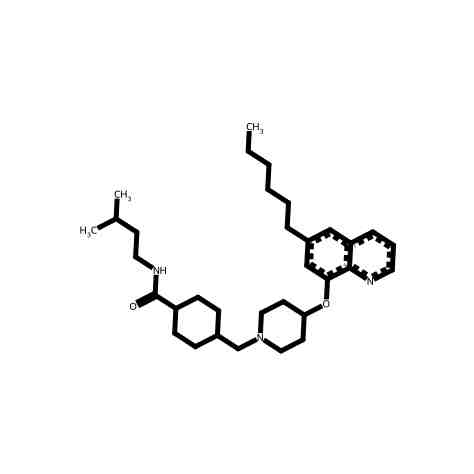 CCCCCCc1cc(OC2CCN(CC3CCC(C(=O)NCCC(C)C)CC3)CC2)c2ncccc2c1